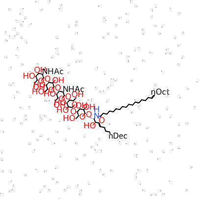 CCCCCCCC/C=C\CCCCCCCCCCCCCCCC(=O)N[C@@H](CO[C@@H]1OC(CO)[C@@H](O[C@@H]2OC(CO)[C@H](O[C@@H]3OC(CO)[C@H](O)[C@H](O[C@@H]4OC(CO)[C@H](O)[C@H](O[C@@H]5OC(CO)[C@@H](O)[C@H](O)C5NC(C)=O)C4O)C3NC(C)=O)[C@H](O)C2O)[C@H](O)C1O)[C@H](O)/C=C/CCCCCCCCCCCCC